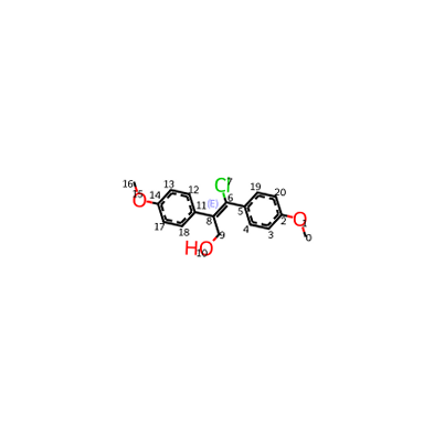 COc1ccc(/C(Cl)=C(\CO)c2ccc(OC)cc2)cc1